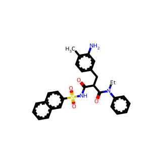 CCN(C(=O)C(Cc1ccc(C)c(N)c1)C(=O)NS(=O)(=O)c1ccc2ccccc2c1)c1ccccc1